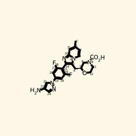 Cc1ccn2c(C[C@H]3CN(C(=O)O)CCO3)c(-c3c(F)cc(-n4cc(N)cn4)cc3F)nc2c1